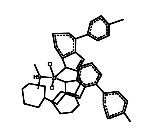 Cc1ccc(-c2cccc3c2C=C(CC2CCCCC2)[CH]3[Zr]([Cl])([Cl])([CH]2C(CC3CCCCC3)=Cc3c(-c4ccc(C)cc4)cccc32)[SiH](C)C)cc1